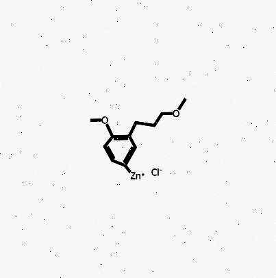 COCCCc1c[c]([Zn+])ccc1OC.[Cl-]